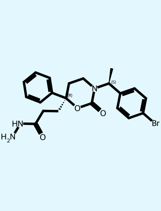 C[C@@H](c1ccc(Br)cc1)N1CC[C@](CCC(=O)NN)(c2ccccc2)OC1=O